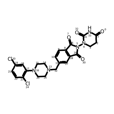 O=C1CCN(N2C(=O)c3ccc(CN4CCN(c5cc(Cl)ccc5Cl)CC4)cc3C2=O)C(=O)N1